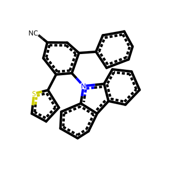 N#Cc1cc(-c2ccccc2)c(-n2c3ccccc3c3ccccc32)c(-c2cccs2)c1